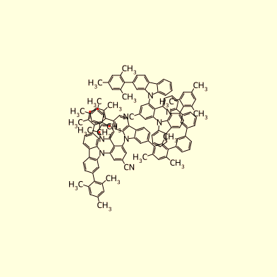 Cc1cc(C)c(-c2ccc3c4ccc(-c5c(C)cc(C)cc5C)cc4n(-c4cc(C#N)cc(-n5c6cc(-c7c(C)cc(C)cc7C)ccc6c6ccc(-c7c(C)cc(C)c(-c8cccc(-c9cccc(-c%10cccc(-c%11c(-n%12c%13ccccc%13c%13ccc(-c%14c(C)cc(C)cc%14C)cc%13%12)cc(C#N)cc%11-n%11c%12ccccc%12c%12ccc(-c%13c(C)cc(C)cc%13C)cc%12%11)n%10)c9)c8)c7C)cc65)c4-c4cccc(C)n4)c3c2)c(C)c1